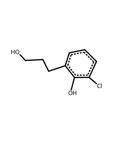 OCCCc1cccc(Cl)c1O